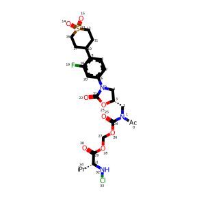 CC(=O)N(C[C@H]1CN(c2ccc(C3CCS(=O)(=O)CC3)c(F)c2)C(=O)O1)C(=O)OCOC(=O)[C@H](NCl)C(C)C